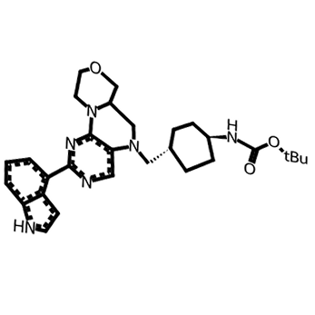 CC(C)(C)OC(=O)N[C@H]1CC[C@H](CN2CC3COCCN3c3nc(-c4cccc5[nH]ccc45)ncc32)CC1